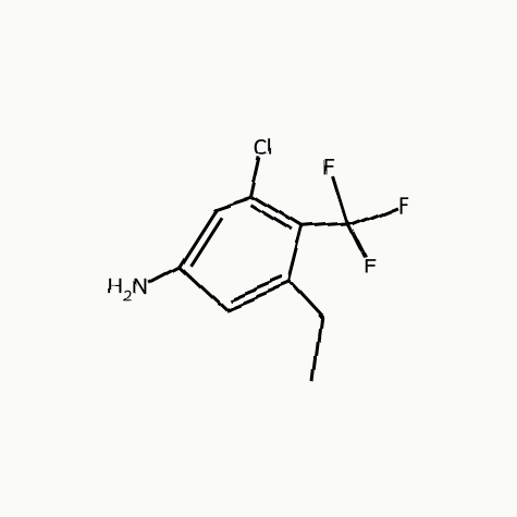 CCc1cc(N)cc(Cl)c1C(F)(F)F